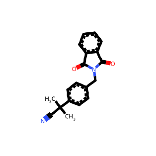 CC(C)(C#N)c1ccc(CN2C(=O)c3ccccc3C2=O)cc1